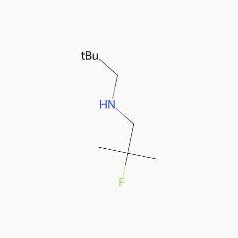 CC(C)(C)CNCC(C)(C)F